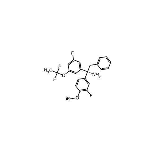 CC(C)Oc1ccc([C@](N)(Cc2ccccc2)c2cc(F)cc(OC(C)(F)F)c2)cc1F